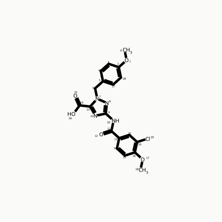 COc1ccc(Cn2nc(NC(=O)c3ccc(OC)c(Cl)c3)nc2C(=O)O)cc1